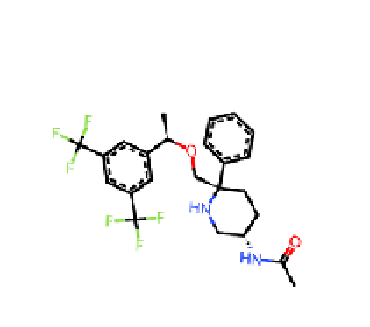 CC(=O)N[C@H]1CC[C@@](CO[C@H](C)c2cc(C(F)(F)F)cc(C(F)(F)F)c2)(c2ccccc2)NC1